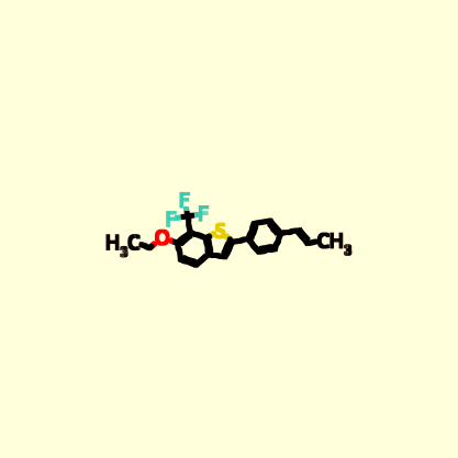 C/C=C/c1ccc(-c2cc3ccc(OCC)c(C(F)(F)F)c3s2)cc1